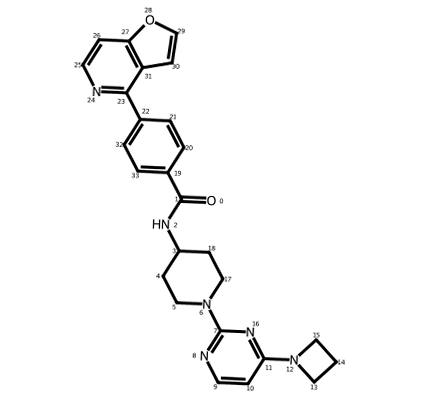 O=C(NC1CCN(c2nccc(N3CCC3)n2)CC1)c1ccc(-c2nccc3occc23)cc1